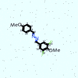 COc1ccc(C=NN=Cc2cc(F)c(OC)c(F)c2)cc1